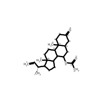 C=C[C@@H](C)C1CCC2C3C(OC(C)=O)CC4CC(=O)CCC4(C)C3CCC21C